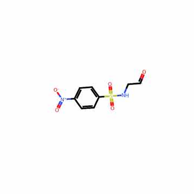 O=[C]CNS(=O)(=O)c1ccc([N+](=O)[O-])cc1